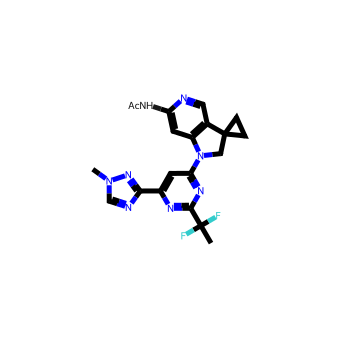 CC(=O)Nc1cc2c(cn1)C1(CC1)CN2c1cc(-c2ncn(C)n2)nc(C(C)(F)F)n1